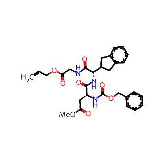 C=CCOC(=O)CNC(=O)[C@@H](NC(=O)[C@H](CC(=O)OC)NC(=O)OCc1ccccc1)C1Cc2ccccc2C1